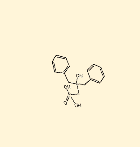 O=P(O)(O)CC(O)(Cc1ccccc1)Cc1ccccc1